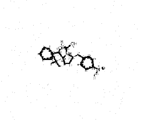 CC(C)(C)[C@@]1([C@H](O)c2ccccc2)CC[C@H](Cc2ccc([N+](=O)[O-])cc2)N1C(=O)O